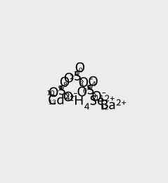 O=S([O-])[O-].O=S([O-])[O-].O=S([O-])[O-].[Ba+2].[Cd+2].[SeH4+2]